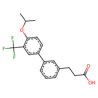 CC(C)Oc1ccc(-c2cccc(CCC(=O)O)c2)cc1C(F)(F)F